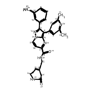 Cc1cc(-c2c(-c3cccc(C#N)c3)nn3ccc(C(=O)NCC4CCNC(=O)C4)nc23)cc(C)n1